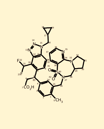 Cc1ccc([C@@H](CC(=O)O)c2ccc3c(nnn3CC3CC3)c2C(F)F)cc1CN1CC2CCCN2c2ncccc2S1(=O)=O